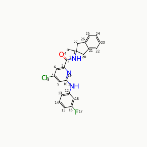 CC1(NC(=O)c2cc(Cl)cc(Nc3cccc(F)c3)n2)Cc2ccccc2C1